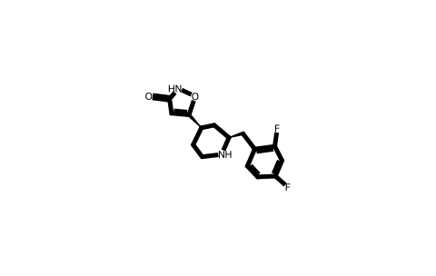 O=c1cc([C@@H]2CCN[C@H](Cc3ccc(F)cc3F)C2)o[nH]1